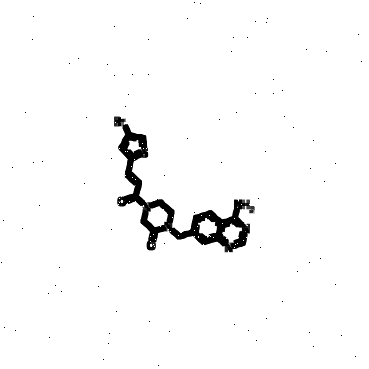 Nc1ncnc2cc(CN3CCN(C(=O)C=Cc4cc(Br)cs4)CC3=O)ccc12